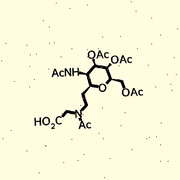 CC(=O)N[C@H]1[C@@H](OC(C)=O)[C@@H](OC(C)=O)[C@@H](COC(C)=O)O[C@H]1CCN(CC(=O)O)C(C)=O